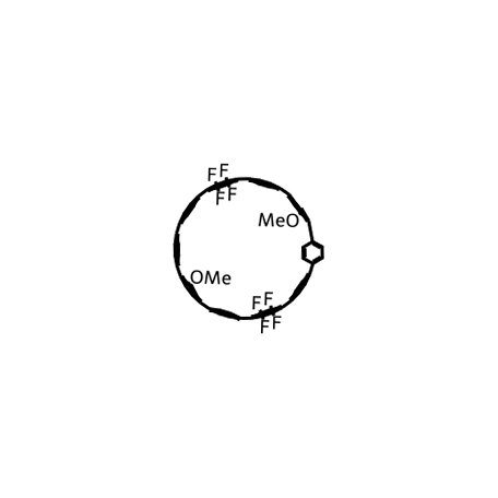 COc1cc2ccc1-c1ccc(cc1)-c1ccc(cc1)-c1c(F)c(F)c(c(F)c1F)-c1ccc(cc1)-c1ccc(c(OC)c1)-c1ccc(cc1)-c1ccc(cc1)-c1c(F)c(F)c(c(F)c1F)-c1ccc-2cc1